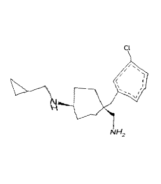 NC[C@]1(c2cccc(Cl)c2)CC[C@H](NCC2CC2)CC1